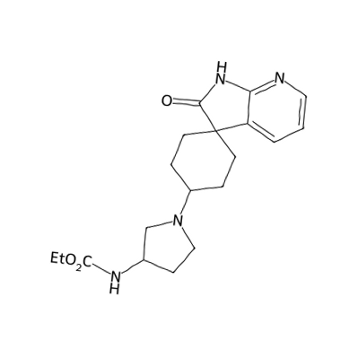 CCOC(=O)NC1CCN(C2CCC3(CC2)C(=O)Nc2ncccc23)C1